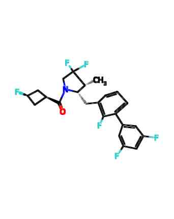 C[C@@H]1[C@H](Cc2cccc(-c3cc(F)cc(F)c3)c2F)N(C(=O)[C@H]2C[C@@H](F)C2)CC1(F)F